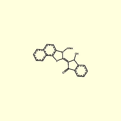 CCCCCCN1/C(=C2/C(=O)c3ccccc3C2O)Sc2c1ccc1ccccc21